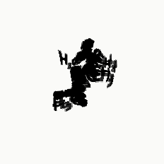 Cc1cc(-c2ccccc2)cc(-c2cc(-c3cc(-n4c5ccccc5c5cc(-c6ccc(N(c7ccc(-c8ccccc8)cc7)c7ccc8c(c7)C(C)(C)c7ccccc7-8)cc6)ccc54)cc(C(C)(C)C)c3)cc(C(C)(C)C)c2)c1